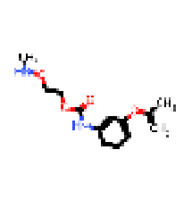 C=C(C)OC1=CCCC(NC(=O)OCCONC)=C1